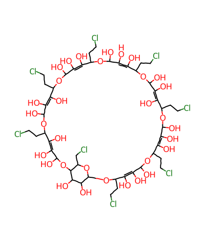 O/C1=C(\O)C(CCCl)OC(O)/C(O)=C(/O)C(CCCl)OC2OC(CCl)C(OC(O)/C(O)=C(\O)C(CCCl)OC(O)/C(O)=C(\O)C(CCCl)OC(O)/C(O)=C(/O)C(CCCl)OC(O)/C(O)=C(/O)C(CCCl)OC(O)/C(O)=C(\O)C(CCCl)OC1O)C(O)C2O